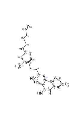 C=C(/C=C1\C(=N)C(=N)Nc2cc(CC)ccc21)CCc1ccc(OCCCP=O)cc1C